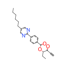 C#CC(=O)C(CC)OC(=O)c1ccc(-c2ncc(CCCCCC)cn2)cc1